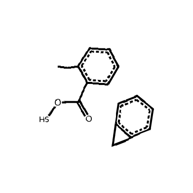 Cc1ccccc1C(=O)OS.c1ccc2c(c1)C2